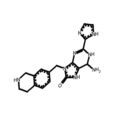 NC1NC(c2ncc[nH]2)=Nc2c1[nH]c(=O)n2Cc1ccc2c(c1)CNCC2